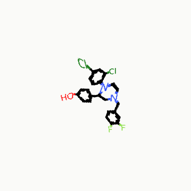 Oc1ccc(C2CN(Cc3ccc(F)c(F)c3)CCN2c2ccc(Cl)cc2Cl)cc1